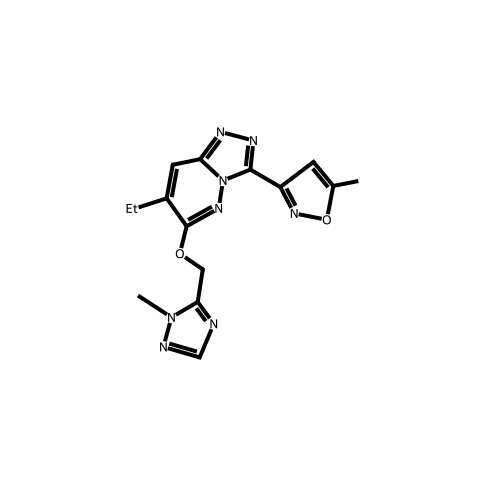 CCc1cc2nnc(-c3cc(C)on3)n2nc1OCc1ncnn1C